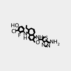 CCC1=C(Nc2ccc(O)c(Cl)c2F)c2ccc(C)c(NC(=O)c3csc4c(N)ncnc34)c2C=CC1